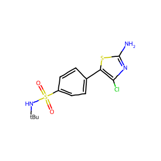 CC(C)(C)NS(=O)(=O)c1ccc(-c2sc(N)nc2Cl)cc1